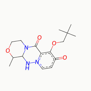 CC1OCCN2C(=O)c3c(OCC(C)(C)C)c(=O)ccn3NC12